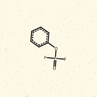 O=P(F)(F)Oc1ccccc1